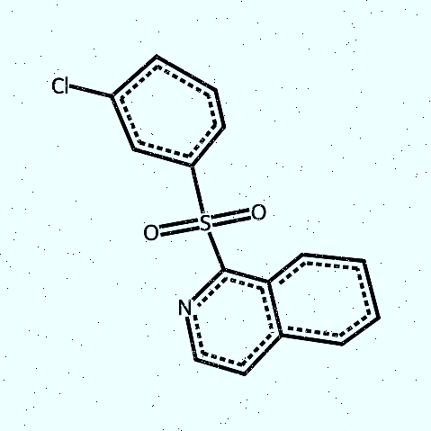 O=S(=O)(c1cccc(Cl)c1)c1nccc2ccccc12